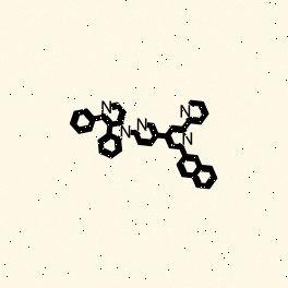 c1ccc(-c2nccc3c2c2ccccc2n3-c2ccc(-c3cc(-c4ccc5ccccc5c4)nc(-c4ccccn4)c3)cn2)cc1